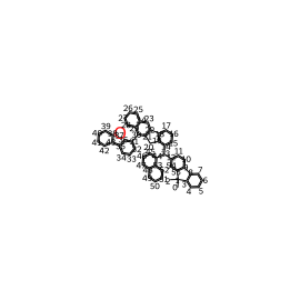 CC1(C)c2ccccc2-c2ccc(C(c3cccc4c3Cc3c-4cc4ccccc4c3-c3cccc4c3oc3ccccc34)c3cccc4ccccc34)cc21